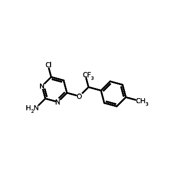 Cc1ccc(C(Oc2cc(Cl)nc(N)n2)C(F)(F)F)cc1